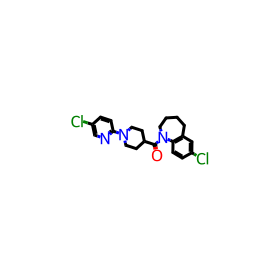 O=C(C1CCN(c2ccc(Cl)cn2)CC1)N1CCCCc2cc(Cl)ccc21